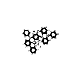 Cc1cc(N(C2=CCCC=C2)c2cccc(-c3ccccc3C)c2C)ccc1B1c2ccccc2N(c2ccccc2)c2cccc(C)c21